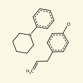 C=CCc1ccc(Cl)cc1.c1ccc(N2CCCCC2)cc1